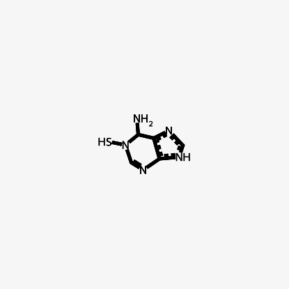 NC1c2nc[nH]c2N=CN1S